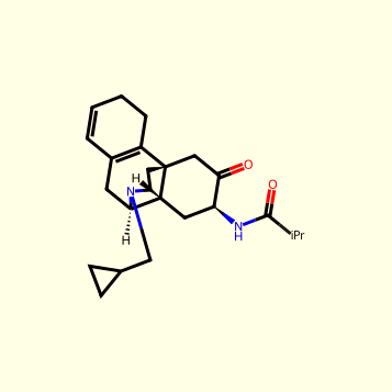 CC(C)C(=O)N[C@H]1C[C@@H]2[C@H]3CC4=C(CCC=C4)[C@]2(CCN3CC2CC2)CC1=O